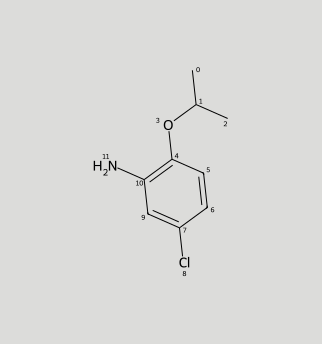 CC(C)Oc1ccc(Cl)cc1N